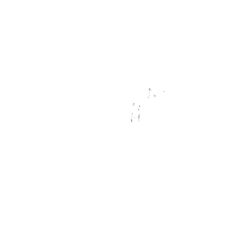 CC=C1C(C)=CC=CC1C(=O)NN